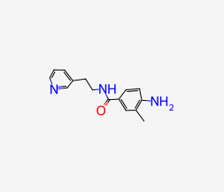 Cc1cc(C(=O)NCCc2cccnc2)ccc1N